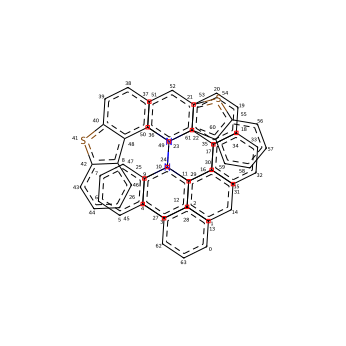 c1ccc(-c2ccccc2N(c2ccccc2-c2ccccc2N(c2ccccc2-c2ccccc2)c2cccc3sc4ccccc4c23)c2cccc3sc4ccccc4c23)cc1